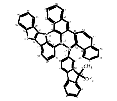 CC1(C)c2ccccc2-c2ccc(N3B4c5c(cc6ccccc6c5-n5c6c4cccc6c4sc6ccccc6c45)-c4ccc5ccccc5c43)cc21